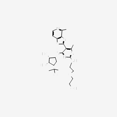 Cc1nc(NCCOCCO)nc(N[C@@H]2C[C@H](C(C)(C)O)[C@@H](O)[C@H]2O)c1-c1nc2c(C)nccc2s1